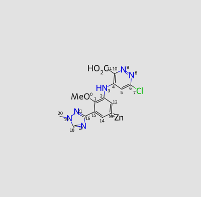 COc1c(Nc2cc(Cl)nnc2C(=O)O)cccc1-c1ncn(C)n1.[Zn]